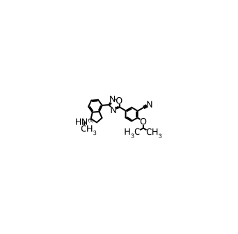 CN[C@H]1CCc2c(-c3noc(-c4ccc(OC(C)C)c(C#N)c4)n3)cccc21